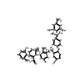 Cc1ccc(F)cc1N.Cc1ccc(N)c(F)c1.FN(F)c1ccccc1.N#Cc1cccc(N)c1.Nc1cc(F)cc(F)c1.Nc1cccc(F)c1